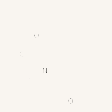 O=C1C=CC(=O)N1c1cccc2c1OCC2